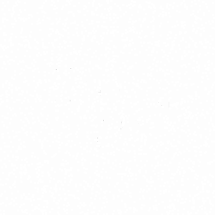 Nc1ccc(C(O)(Cc2ccccc2)C(F)(F)F)cc1